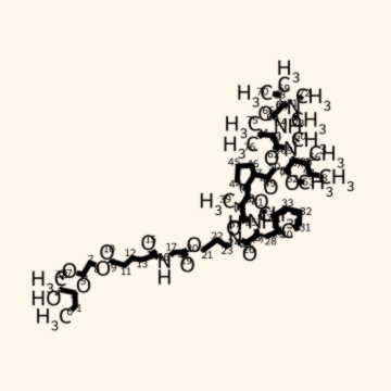 CCC(CO)OC(COC(=O)CCCC(=O)NCC(=O)OCCCNC(=O)[C@H](Cc1ccccc1)NC(=O)[C@H](C)[C@@H](OC)[C@@H]1CCCC1C(=O)C[C@@H](OC)[C@H]([C@@H](C)CC)N(C)C(=O)[C@@H](NC(=O)[C@H](C(C)C)N(C)C)C(C)C)OC